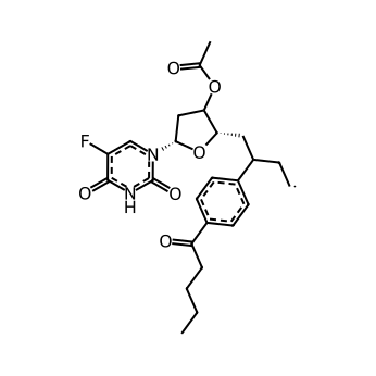 [CH2]CC(C[C@@H]1O[C@H](n2cc(F)c(=O)[nH]c2=O)CC1OC(C)=O)c1ccc(C(=O)CCCC)cc1